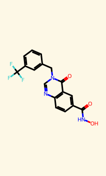 O=C(NO)c1ccc2ncn(Cc3cccc(C(F)(F)F)c3)c(=O)c2c1